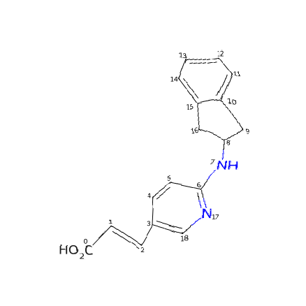 O=C(O)C=Cc1ccc(NC2Cc3ccccc3C2)nc1